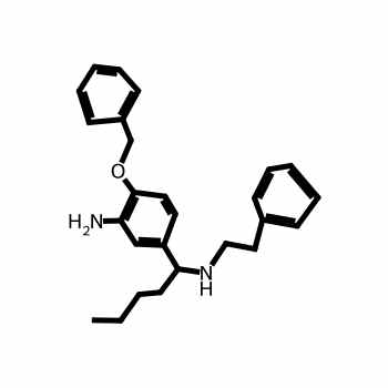 CCCCC(NCCc1ccccc1)c1ccc(OCc2ccccc2)c(N)c1